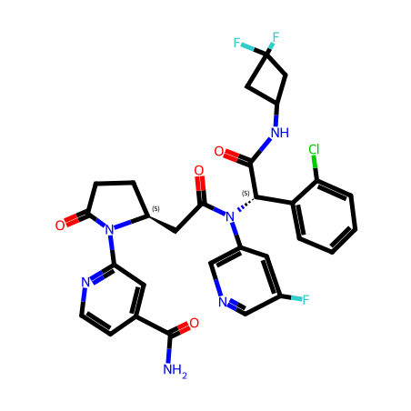 NC(=O)c1ccnc(N2C(=O)CC[C@H]2CC(=O)N(c2cncc(F)c2)[C@H](C(=O)NC2CC(F)(F)C2)c2ccccc2Cl)c1